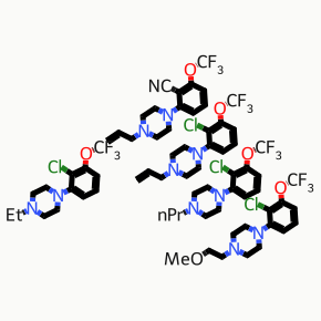 C=CCN1CCN(c2cccc(OC(F)(F)F)c2C#N)CC1.C=CCN1CCN(c2cccc(OC(F)(F)F)c2Cl)CC1.CCCN1CCN(c2cccc(OC(F)(F)F)c2Cl)CC1.CCN1CCN(c2cccc(OC(F)(F)F)c2Cl)CC1.COCCN1CCN(c2cccc(OC(F)(F)F)c2Cl)CC1